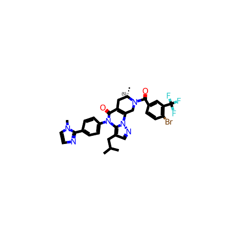 CC(C)Cc1cnn2c3c(c(=O)n(-c4ccc(-c5nccn5C)cc4)c12)C[C@H](C)N(C(=O)c1ccc(Br)c(C(F)(F)F)c1)C3